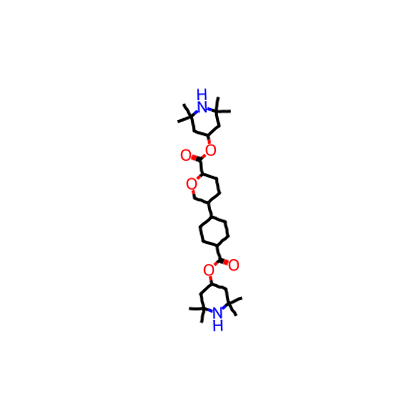 CC1(C)CC(OC(=O)C2CCC(C3CCC(C(=O)OC4CC(C)(C)NC(C)(C)C4)OC3)CC2)CC(C)(C)N1